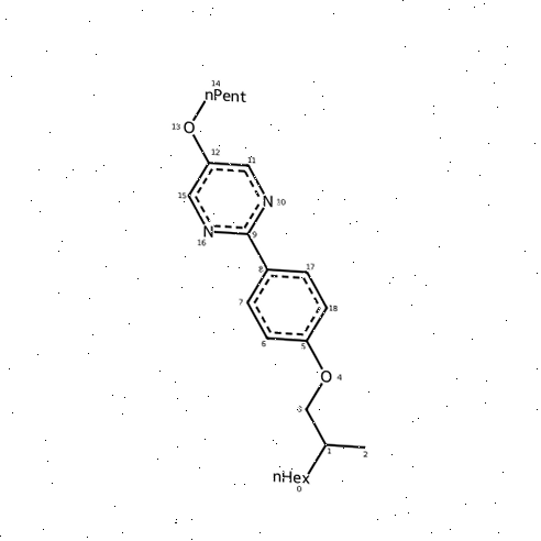 CCCCCCC(C)COc1ccc(-c2ncc(OCCCCC)cn2)cc1